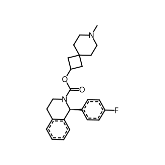 CN1CCC2(CC1)CC(OC(=O)N1CCc3ccccc3[C@@H]1c1ccc(F)cc1)C2